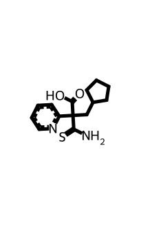 NC(=S)C(CC1CCCC1)(C(=O)O)c1ccccn1